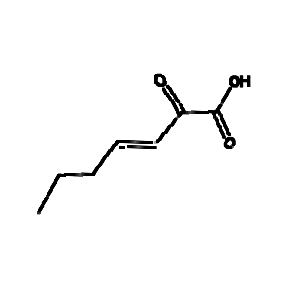 CCCC=CC(=O)C(=O)O